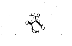 CCC(=C=O)C(=O)O.O